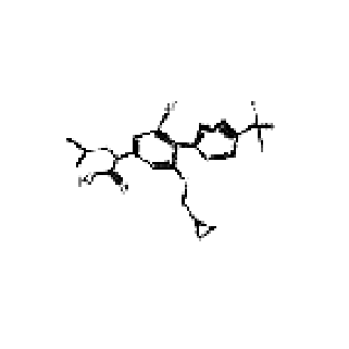 CC(C)CC(C(=O)O)c1cc(Cl)c(-c2ccc(C(F)(F)F)cc2)c(OCC2CC2)c1